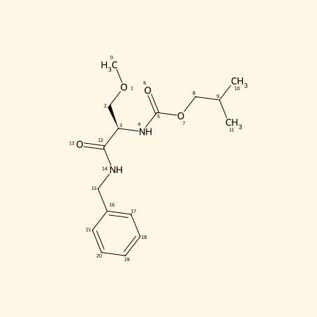 COC[C@@H](NC(=O)OCC(C)C)C(=O)NCc1ccccc1